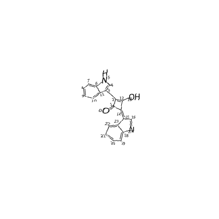 O=C1C(c2c[nH]c3ccccc23)=C(O)/C1=C1\C=Nc2ccccc21